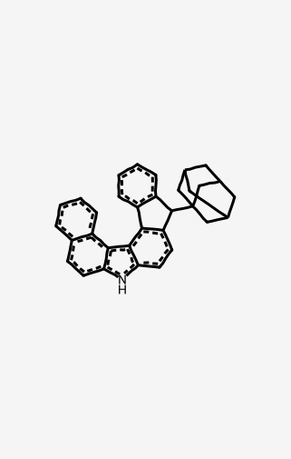 c1ccc2c(c1)-c1c(ccc3[nH]c4ccc5ccccc5c4c13)C2C12CC3CC(CC(C3)C1)C2